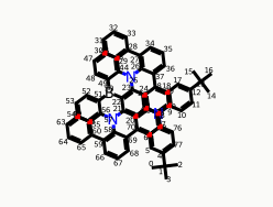 CC(C)(C)c1ccc(N(c2ccc(C(C)(C)C)cc2)c2cc3c4c(c2)N(c2c(-c5ccccc5)cccc2-c2ccccc2)c2ccccc2B4c2ccccc2N3c2c(-c3ccccc3)cccc2-c2ccccc2)cc1